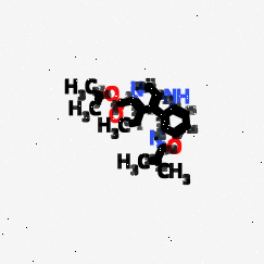 CCc1c(C(=O)OC(C)C)ncc2[nH]c3ccc4oc(C(C)C)nc4c3c12